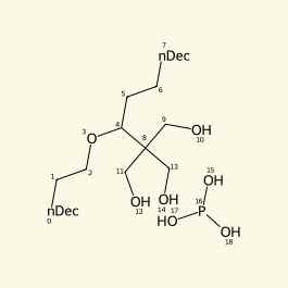 CCCCCCCCCCCCOC(CCCCCCCCCCCC)C(CO)(CO)CO.OP(O)O